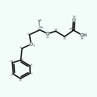 C[C@@H](COCc1ccccc1)OCCC(=O)O